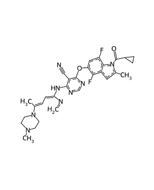 C=N/C(=C\C=C(/C)N1CCN(C)CC1)Nc1ncnc(Oc2cc(F)c3c(cc(C)n3C(=O)C3CC3)c2F)c1C#N